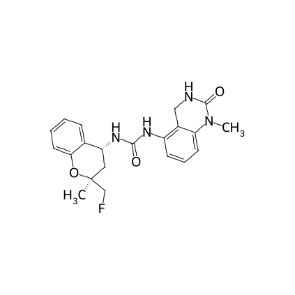 CN1C(=O)NCc2c(NC(=O)N[C@@H]3C[C@@](C)(CF)Oc4ccccc43)cccc21